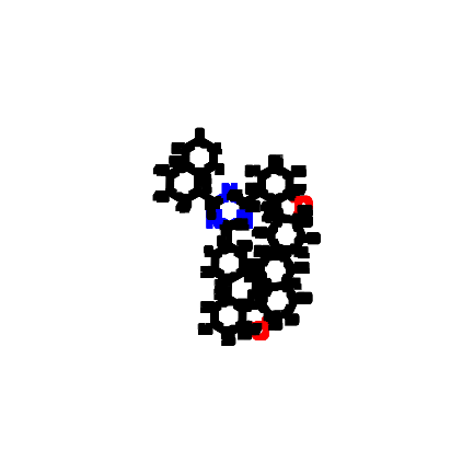 c1ccc2c(-c3nc(-c4ccc(-c5cccc6oc7ccc8ccccc8c7c56)cc4)nc(-c4cccc5oc6ccccc6c45)n3)cccc2c1